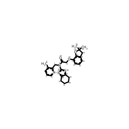 Cc1cccnc1CN(C(=O)COc1cccc2c1OC(C)(C)C2)c1nc2c(s1)CCCC2